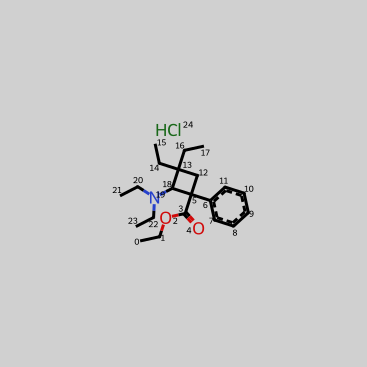 CCOC(=O)C1(c2ccccc2)CC(CC)(CC)C1N(CC)CC.Cl